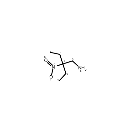 CCC(CC)(CN)[N+](=O)[O-]